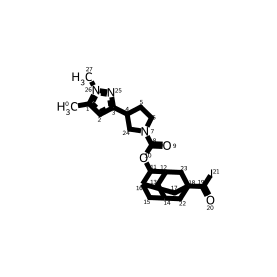 Cc1cc(C2CCN(C(=O)OC3C4CC5CC3CC(C(=O)I)(C5)C4)C2)nn1C